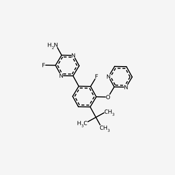 CC(C)(C)c1ccc(-c2cnc(N)c(F)n2)c(F)c1Oc1ncccn1